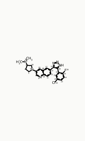 CN(C)C1CCN(c2cnc3ccc(-c4nn[nH]c4-c4cc(Cl)ccc4F)cc3c2)C1